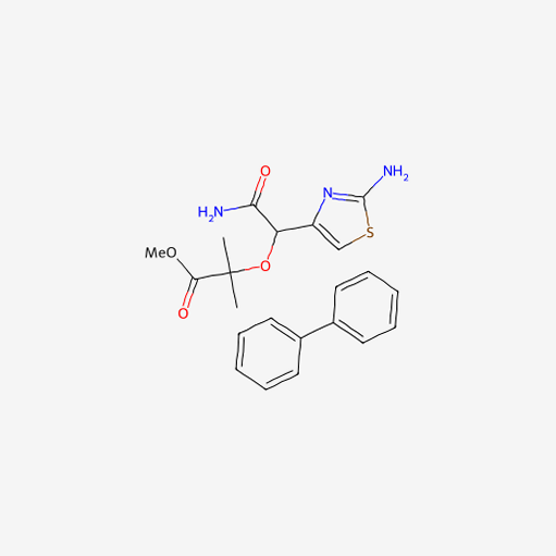 COC(=O)C(C)(C)OC(C(N)=O)c1csc(N)n1.c1ccc(-c2ccccc2)cc1